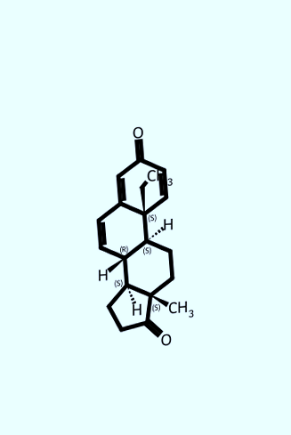 CC[C@]12C=CC(=O)C=C1C=C[C@H]1[C@@H]3CCC(=O)[C@@]3(C)CC[C@@H]12